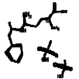 CC(Cc1ccccc1)NC(N)CC[C@H](N)C(=O)O.CS(=O)(=O)O.CS(=O)(=O)O